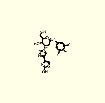 OCC1O[C@H](Sc2cc(Cl)c(F)c(Cl)c2)C[C@@H](n2cc(-c3csc(O)n3)nn2)C1O